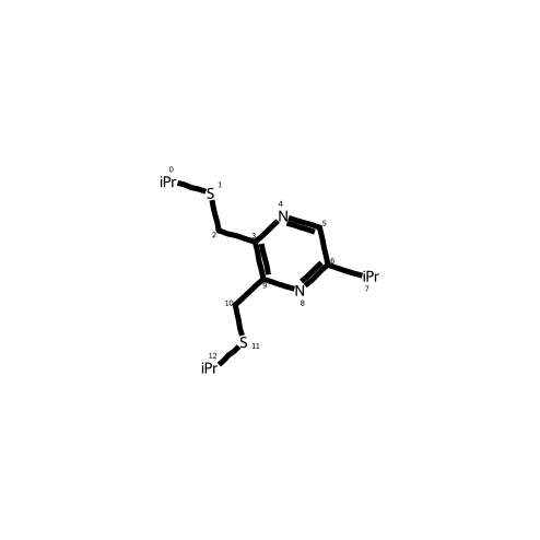 CC(C)SCc1ncc(C(C)C)nc1CSC(C)C